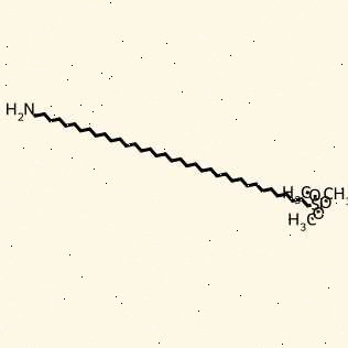 CO[Si](CCCCCCCCCCCCCCCCCCCCCCCCCCCCCCCCCCCCCN)(OC)OC